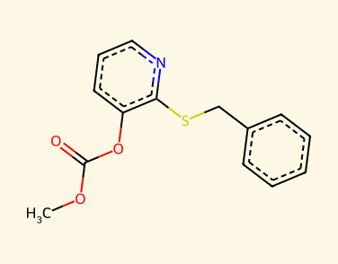 COC(=O)Oc1cccnc1SCc1ccccc1